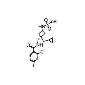 CCCS(=O)(=O)N[C@H]1C[C@](CNC(=O)c2ccc(C)cc2Cl)(CC2CC2)C1